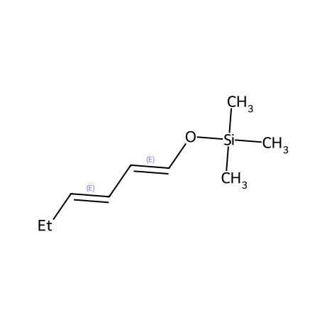 CC/C=C/C=C/O[Si](C)(C)C